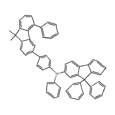 CC1(C)c2ccc(-c3ccc(N(c4ccccc4)c4ccc5c(c4)C(c4ccccc4)(c4ccccc4)c4ccccc4-5)cc3)cc2-c2c(-c3ccccc3)cccc21